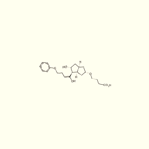 O=C(O)CCCO[C@H]1C[C@@H]2C[C@@H](O)[C@H](/C(O)=C\CCOc3ccccc3)[C@@H]2C1